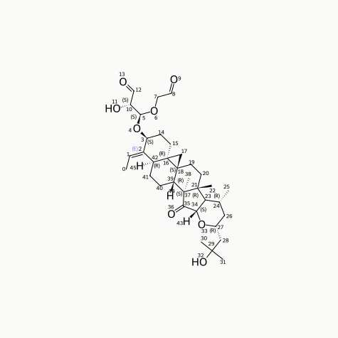 C/C=C1/[C@@H](O[C@H](OCC=O)[C@H](O)C=O)CC[C@]23C[C@]24CC[C@]2(C)C5[C@H](C)C[C@H](CC(C)(C)O)O[C@@H]5C(=O)[C@@]2(C)[C@@H]4CC[C@@H]13